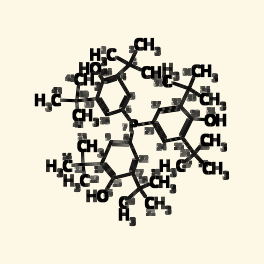 CC(C)(C)c1cc(P(c2cc(C(C)(C)C)c(O)c(C(C)(C)C)c2)c2cc(C(C)(C)C)c(O)c(C(C)(C)C)c2)cc(C(C)(C)C)c1O